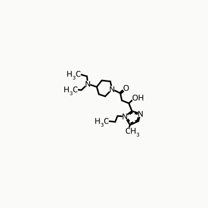 CCCn1c(C)cnc1C(O)CC(=O)N1CCC(N(CC)CC)CC1